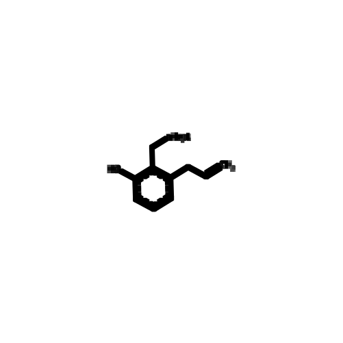 C=CCc1cccc(O)c1CCCCCCCC